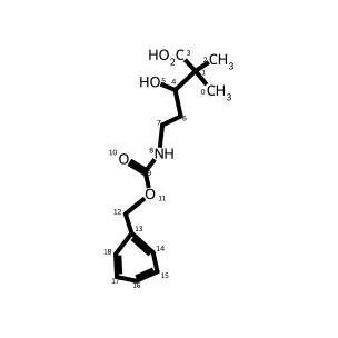 CC(C)(C(=O)O)C(O)CCNC(=O)OCc1ccccc1